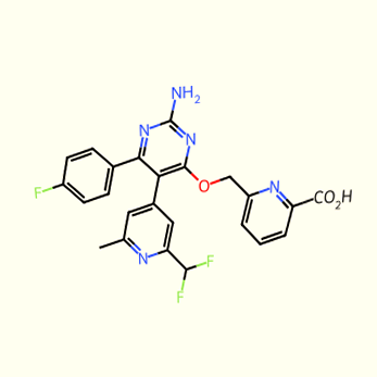 Cc1cc(-c2c(OCc3cccc(C(=O)O)n3)nc(N)nc2-c2ccc(F)cc2)cc(C(F)F)n1